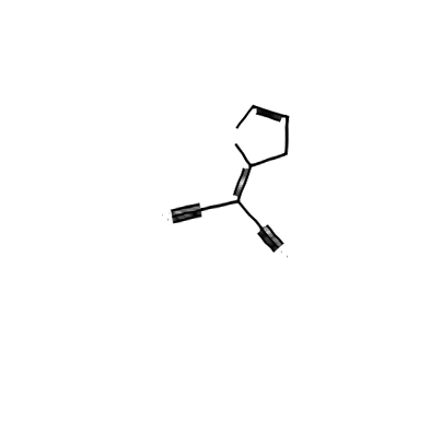 N#CC(C#N)=C1CC=CO1